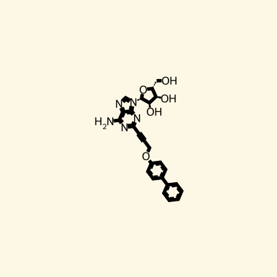 Nc1nc(C#CCOc2ccc(-c3ccccc3)cc2)nc2c1ncn2[C@@H]1O[C@H](CO)[C@@H](O)[C@H]1O